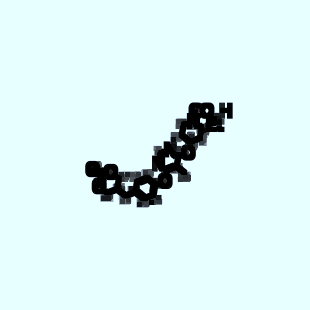 CC[C@@H]1C[C@@H](Oc2ncnc(Oc3ccc(CC4COS(=O)OC4)cc3)c2C)CCN1C(=O)O